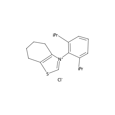 CC(C)c1cccc(C(C)C)c1-[n+]1csc2c1CCCC2.[Cl-]